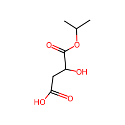 CC(C)OC(=O)C(O)CC(=O)O